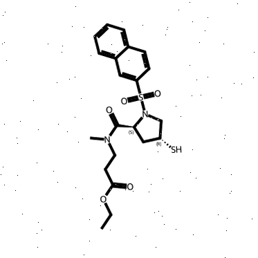 CCOC(=O)CCN(C)C(=O)[C@@H]1C[C@@H](S)CN1S(=O)(=O)c1ccc2ccccc2c1